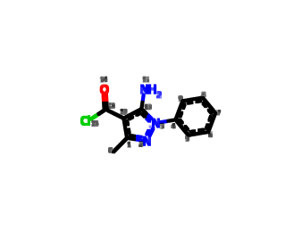 Cc1nn(-c2ccccc2)c(N)c1C(=O)Cl